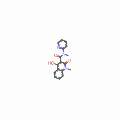 CN(C(=O)c1c(O)c2ccccc2n(C)c1=O)c1ccccn1